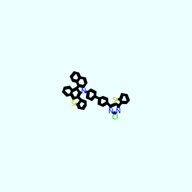 Clc1nc(-c2ccc(-c3ccc(-n4c5ccc6ccccc6c5c5c6ccccc6c6sc7ccccc7c6c54)cc3)cc2)c2sc3ccccc3c2n1